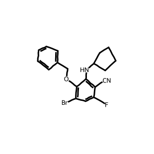 N#Cc1c(F)cc(Br)c(OCc2ccccc2)c1NC1CCCC1